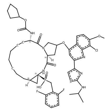 COc1ccc2c(OC3C[C@H]4C(=O)N[C@]5(P(=O)(O)Cc6c(F)cccc6F)C[C@H]5CCCCCCC[C@H](NC(=O)OC5CCCC5)C(=O)N4C3)cc(-c3csc(NC(C)C)n3)nc2c1Cl